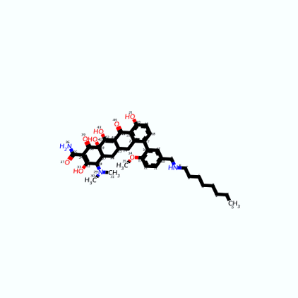 CCCCCCCCNCc1ccc(OC)c(-c2ccc(O)c3c2CC2CC4C(N(C)C)C(O)=C(C(N)=O)C(=O)C4(O)C(O)=C2C3=O)c1